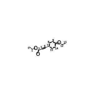 CCOC(=O)C#Cc1ccc(OCC)cc1